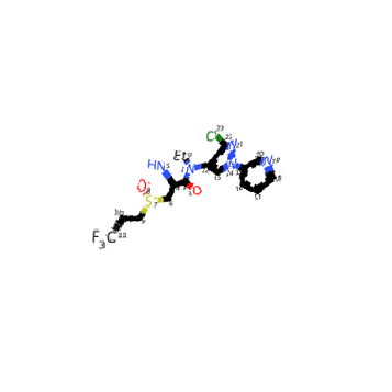 CCN(C(=O)C(=N)C[S+]([O-])CCC(F)(F)F)c1cn(-c2cccnc2)nc1Cl